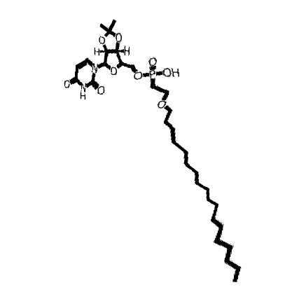 CCCCCCCCCCCCCCCCCCOCCP(=O)(O)OCC1OC(n2ccc(=O)[nH]c2=O)[C@@H]2OC(C)(C)O[C@H]12